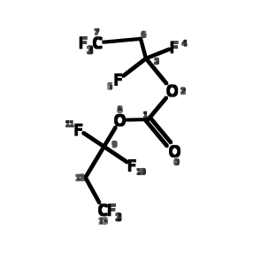 O=C(OC(F)(F)CC(F)(F)F)OC(F)(F)CC(F)(F)F